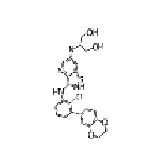 OCC(CO)N=c1cnc2c(Nc3cccc(-c4ccc5c(c4)OCCO5)c3Cl)[nH]sc-2c1